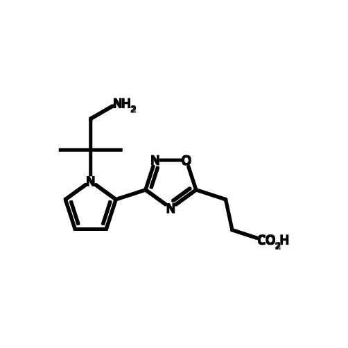 CC(C)(CN)n1cccc1-c1noc(CCC(=O)O)n1